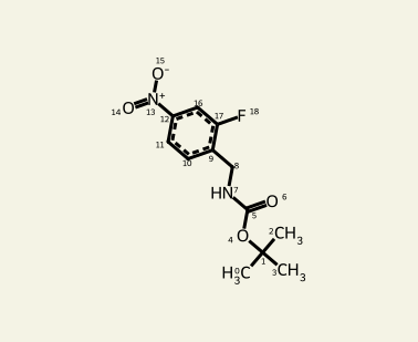 CC(C)(C)OC(=O)NCc1ccc([N+](=O)[O-])cc1F